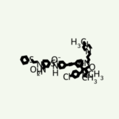 Cc1c(C(=O)NCCCN2CCN(C)CC2)c(-c2cccc(C#Cc3ccc(N[S+]([O-])c4ccc(NCCSc5ccccc5)c([N+](=O)[O-])c4)cc3)c2)c(-c2ccc(Cl)cc2)n1C